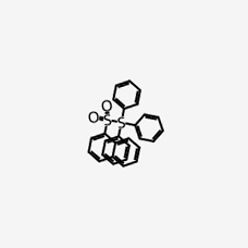 O=S(=O)(c1cccc2ccccc12)S(c1ccccc1)(c1ccccc1)c1ccccc1